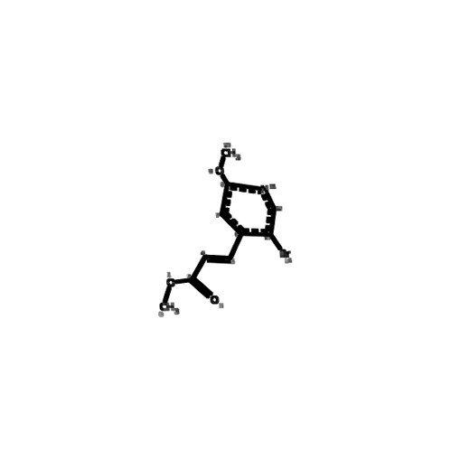 COC(=O)C=Cc1cc(OC)ncc1Br